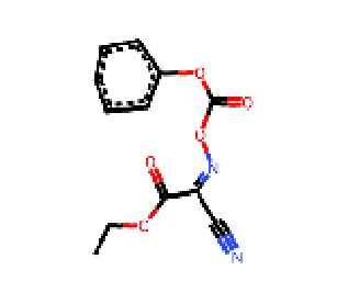 CCOC(=O)/C(C#N)=N\OC(=O)Oc1ccccc1